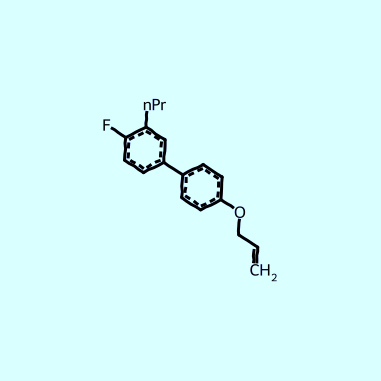 [CH2]CCc1cc(-c2ccc(OCC=C)cc2)ccc1F